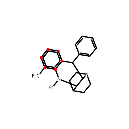 CCN(c1ccccc1C(F)(F)F)C1C2CCN(CC2)C1C(c1ccccc1)c1ccccc1